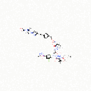 COC(=O)N[C@H](C(=O)NN(Cc1c(F)cc(-c2nnc(C)o2)cc1F)C[C@@H](O)CNC(=O)[C@@H](NC(=O)OCCc1ccc(C#Cc2ccc(N3C[C@H]4C[C@@H]3CN4C3COC3)nc2)cc1)C(C)(C)C(F)(F)F)C(C)(C)C(F)(F)F